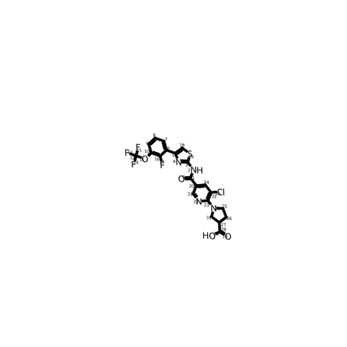 O=C(Nc1nc(-c2cccc(OC(F)(F)F)c2F)cs1)c1cnc(N2CCC(C(=O)O)C2)c(Cl)c1